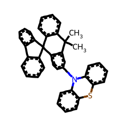 CC1(C)c2ccccc2C2(c3ccccc3-c3ccccc32)c2ccc(N3c4ccccc4Sc4ccccc43)cc21